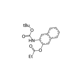 CCC(=O)Oc1cc2ccccc2cc1NC(=O)OC(C)(C)C